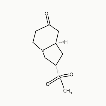 CS(=O)(=O)[C@H]1C[C@@H]2CC(=O)CCN2C1